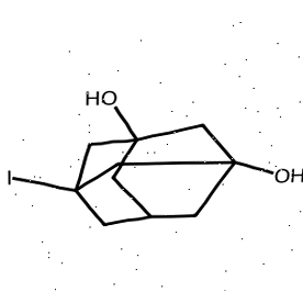 OC12CC3CC(O)(C1)CC(I)(C3)C2